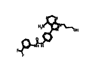 Nc1ncnc2c1c(-c1ccc(NC(=O)Nc3cccc(C(F)F)c3)cc1)nn2CCCO